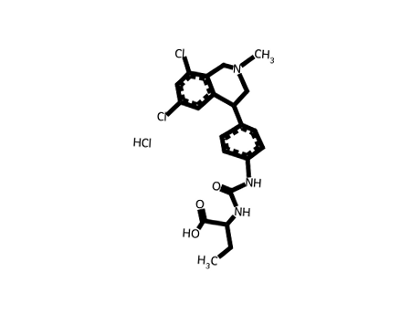 CCC(NC(=O)Nc1ccc(C2CN(C)Cc3c(Cl)cc(Cl)cc32)cc1)C(=O)O.Cl